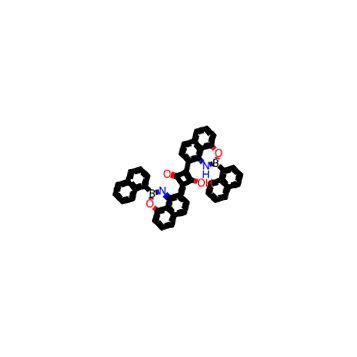 O=C1C(c2ccc3cccc4c3c2NB(c2cccc3ccccc23)O4)=C(O)/C1=c1\ccc2cccc3c2c1=NB(c1cccc2ccccc12)O3